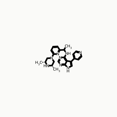 CC(Nc1ncnc2[nH]cc(-c3ccncc3)c12)c1cccc(N2C[C@@H](C)N[C@@H](C)C2)n1